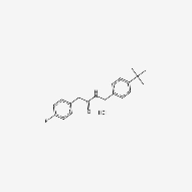 CC(C)(C)c1ccc(CNC(=O)Cc2ccc(F)cc2)cc1.Cl